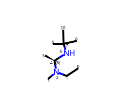 CCN(C)[C@@H](C)NC(C)(C)C